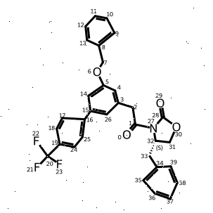 O=C(Cc1cc(OCc2ccccc2)cc(-c2ccc(C(F)(F)F)cc2)c1)N1C(=O)OC[C@@H]1Cc1ccccc1